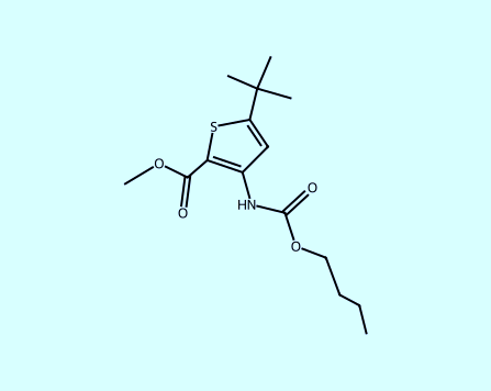 CCCCOC(=O)Nc1cc(C(C)(C)C)sc1C(=O)OC